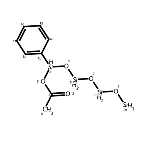 CC(=O)O[SiH](O[SiH2]O[SiH2]O[SiH3])c1ccccc1